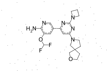 Nc1ncc(-c2cc(N3CCC4(CCOC4)C3)nc(N3CCC3)n2)cc1OC(F)F